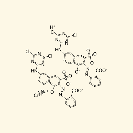 O=C([O-])c1ccccc1N=Nc1c(S(=O)(=O)[O-])cc2cc(Nc3nc(Cl)nc(Cl)n3)ccc2c1[O-].O=C([O-])c1ccccc1N=Nc1c(S(=O)(=O)[O-])cc2cc(Nc3nc(Cl)nc(Cl)n3)ccc2c1[O-].[Cr+3].[H+].[Na+].[Na+]